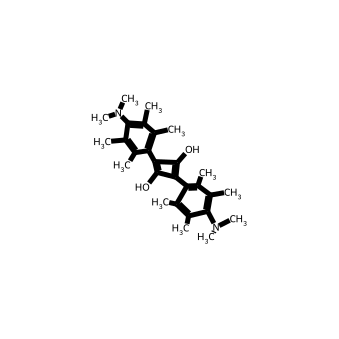 Cc1c(C)c(N(C)C)c(C)c(C)c1C1=C(O)C(c2c(C)c(C)c(N(C)C)c(C)c2C)=C1O